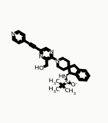 CC(C)(C)[S+]([O-])N[C@@H]1c2ccccc2CC12CCN(c1ncc(C#Cc3ccncc3)nc1CO)CC2